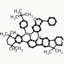 CC(C)(C)c1ccc(N2B3c4cc5occ(-c6ccccc6)c5cc4-n4c5cc6c(cc5c5ccc(c3c54)-c3cc4c(cc32)C(C)(C)CCC4(C)C)C(C)(C)c2ccccc2-6)cc1